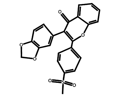 CS(=O)(=O)c1ccc(-c2oc3ccccc3c(=O)c2-c2ccc3c(c2)OCO3)cc1